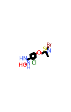 Cc1nc(Br)sc1COc1ccc(C(=N)NO)c(Cl)c1